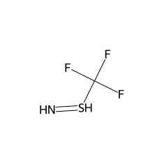 N=[SH]C(F)(F)F